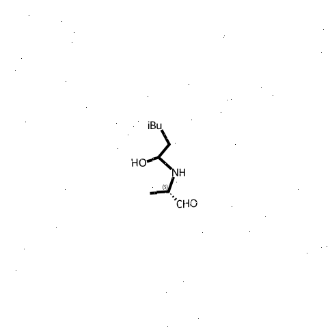 CCC(C)CC(O)N[C@@H](C)C=O